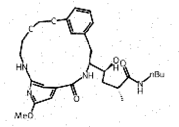 CCCCNC(=O)[C@H](C)C[C@H](O)[C@@H]1Cc2cccc(c2)CCCCCNc2cc(cc(OC)n2)C(=O)N1